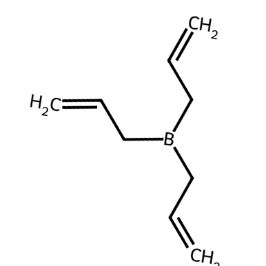 C=CCB(CC=C)CC=C